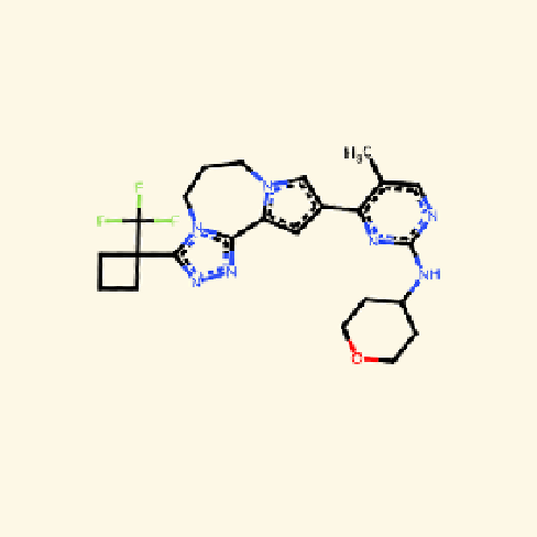 Cc1cnc(NC2CCOCC2)nc1-c1cc2n(c1)CCCn1c-2nnc1C1(C(F)(F)F)CCC1